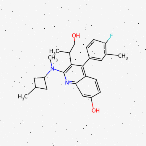 Cc1cc(-c2c(C(C)CO)c(N(C)C3CC(C)C3)nc3cc(O)ccc23)ccc1F